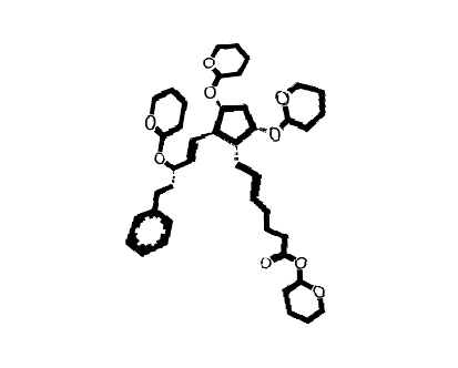 O=C(CCC/C=C/C[C@@H]1[C@@H](/C=C/[C@H](CCc2ccccc2)OC2CCCCO2)[C@H](OC2CCCCO2)C[C@@H]1OC1CCCCO1)OC1CCCCO1